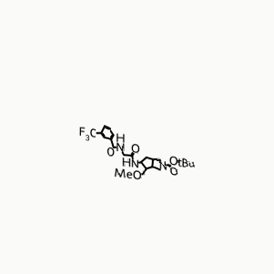 COCC1C(NC(=O)CNC(=O)c2cccc(C(F)(F)F)c2)CC2CN(C(=O)OC(C)(C)C)CC21